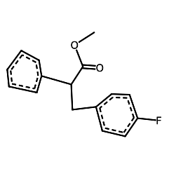 COC(=O)C(Cc1ccc(F)cc1)c1ccccc1